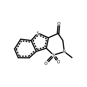 CN1CC(=O)c2sc3ccccc3c2S1(=O)=O